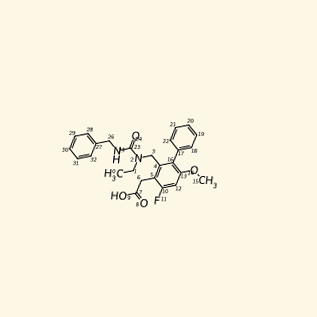 CCN(Cc1c(CC(=O)O)c(F)cc(OC)c1-c1ccccc1)C(=O)NCc1ccccc1